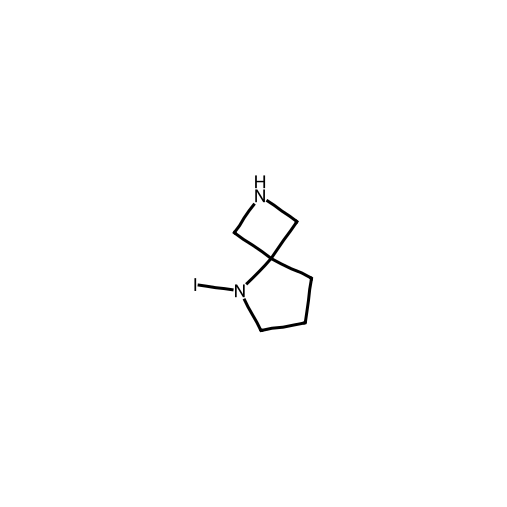 IN1CCCC12CNC2